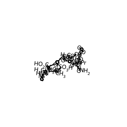 C#CCOC(=O)N(C)Cc1cc(NC(=O)[C@H](CCCNC(N)=O)NC(=O)[C@@H](NC(=O)CCOCCN2C(=O)C=CC2=O)C(C)C)ccc1COC(=O)N(C)CC#Cc1ccc(OCCCc2sc(N(CCCC(O)C[N+](C)(C)CCCS(=O)(=O)O)c3cc(C)c(Nc4nc5ccccc5s4)nn3)nc2C(=O)O)c(F)c1